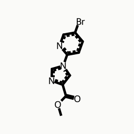 COC(=O)c1cn(-c2ccc(Br)cn2)cn1